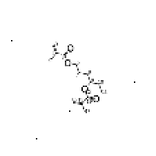 C=C(C)C(=O)OCCCC(CC)OC(=O)C(=C)C